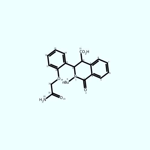 CCCCN1C(=O)c2ccccc2C(C(=O)O)C1c1ccccc1OCC(N)=O